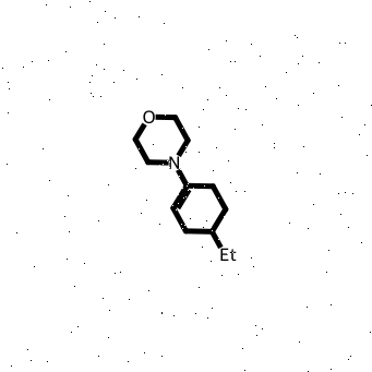 CCC1CC=C(N2CCOCC2)CC1